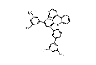 Cc1cc(-c2ccc3c(c2)c2cc(-c4cc(C)cc(C(F)(F)F)c4)ccc2n3-c2ccccc2-c2ccnnc2)cc(C(F)(F)F)c1